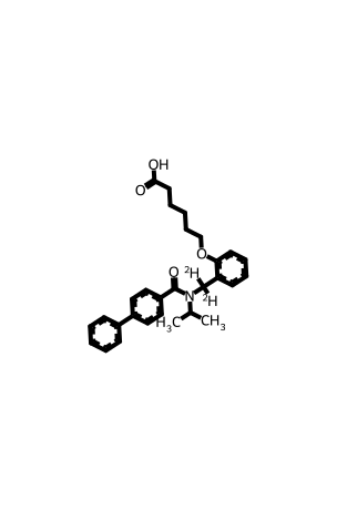 [2H]C([2H])(c1ccccc1OCCCCCC(=O)O)N(C(=O)c1ccc(-c2ccccc2)cc1)C(C)C